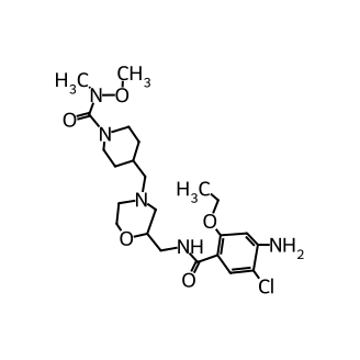 CCOc1cc(N)c(Cl)cc1C(=O)NCC1CN(CC2CCN(C(=O)N(C)OC)CC2)CCO1